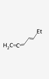 C=C=CC=CCC